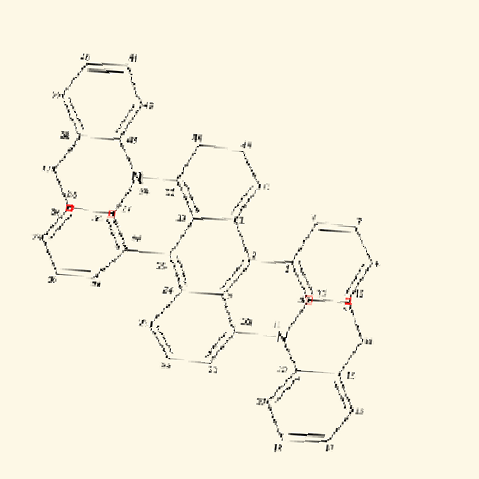 C1=c2c(-c3ccccc3)c3c(N4CCCc5ccccc54)cccc3c(-c3ccccc3)c2=C(N2CCCc3ccccc32)CC1